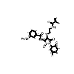 C=C(C)C(=O)NCCSC1=C(NC(=O)c2cccc(NC(C)=O)c2)[N+](=O)N(c2cc(Cl)ccc2Cl)C1=O